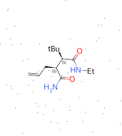 C=CC[C@H](C(N)=O)[C@H](C(=O)NCC)C(C)(C)C